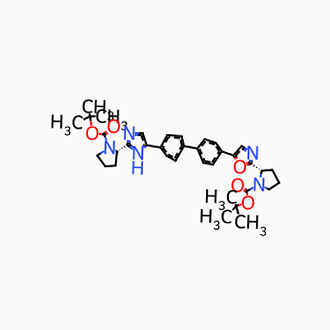 CC(C)(C)OC(=O)N1CCC[C@H]1c1ncc(-c2ccc(-c3ccc(-c4cnc([C@@H]5CCCN5C(=O)OC(C)(C)C)o4)cc3)cc2)[nH]1